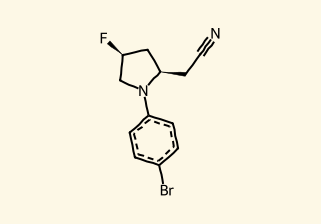 N#CC[C@@H]1C[C@H](F)CN1c1ccc(Br)cc1